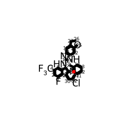 Fc1cc(C(F)(F)F)cc([C@@](Cc2ccccc2)(Nc2nc3cc4c(cc3[nH]2)OCC4)c2ccc(Cl)cn2)c1